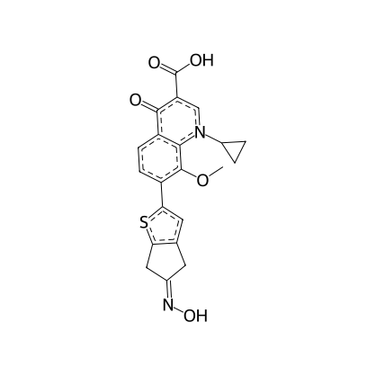 COc1c(-c2cc3c(s2)C/C(=N/O)C3)ccc2c(=O)c(C(=O)O)cn(C3CC3)c12